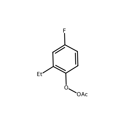 CCc1cc(F)ccc1OOC(C)=O